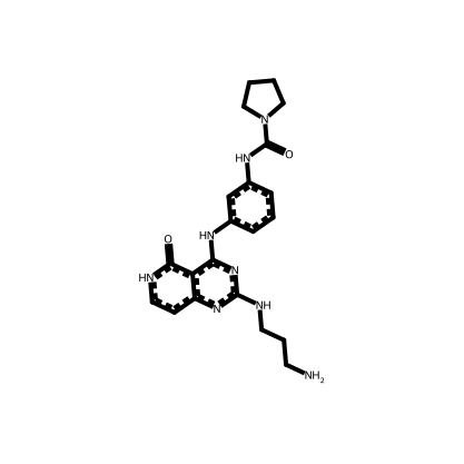 NCCCNc1nc(Nc2cccc(NC(=O)N3CCCC3)c2)c2c(=O)[nH]ccc2n1